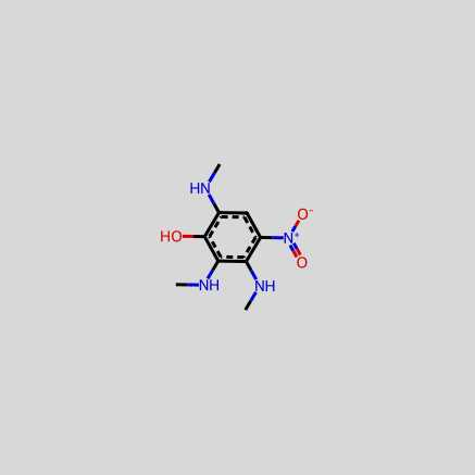 CNc1cc([N+](=O)[O-])c(NC)c(NC)c1O